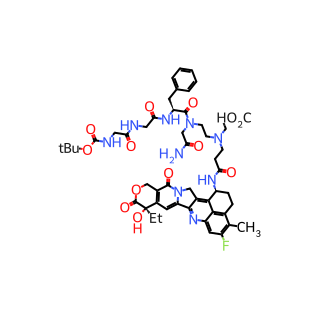 CC[C@@]1(O)C(=O)OCc2c1cc1n(c2=O)Cc2c-1nc1cc(F)c(C)c3c1c2[C@@H](NC(=O)CCN(CCN(CC(N)=O)C(=O)[C@H](Cc1ccccc1)NC(=O)CNC(=O)CNC(=O)OC(C)(C)C)CC(=O)O)CC3